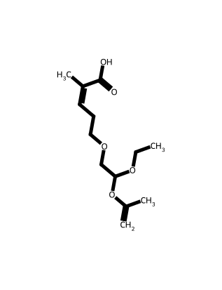 C=C(C)OC(COCCC=C(C)C(=O)O)OCC